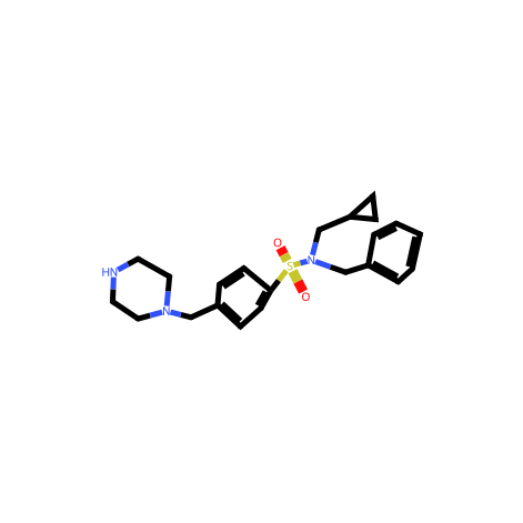 O=S(=O)(c1ccc(CN2CCNCC2)cc1)N(Cc1ccccc1)CC1CC1